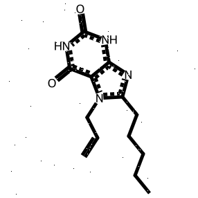 C=CCn1c(CCCCC)nc2[nH]c(=O)[nH]c(=O)c21